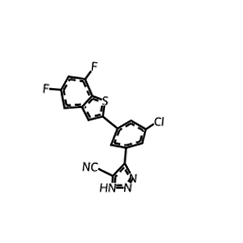 N#Cc1[nH]nnc1-c1cc(Cl)cc(-c2cc3cc(F)cc(F)c3s2)c1